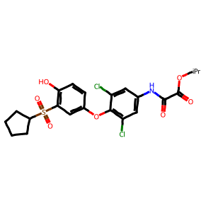 CC(C)OC(=O)C(=O)Nc1cc(Cl)c(Oc2ccc(O)c(S(=O)(=O)C3CCCC3)c2)c(Cl)c1